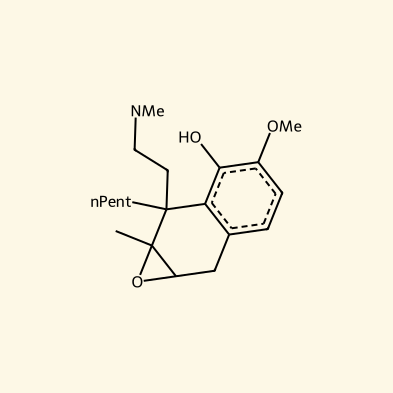 CCCCCC1(CCNC)c2c(ccc(OC)c2O)CC2OC21C